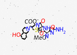 CO/N=C(\C(=O)NC1C(=O)N2C(C(=O)[O-])=C(C[n+]3ccc4c(O)cccc4c3)CS[C@H]12)c1coc(N)n1